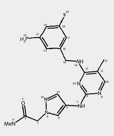 CNC(=O)Cn1cc(Nc2ncc(C)c(NCc3cc(F)cc(P)c3)n2)cn1